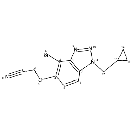 N#CCOc1ccc2c(nnn2CC2CC2)c1Br